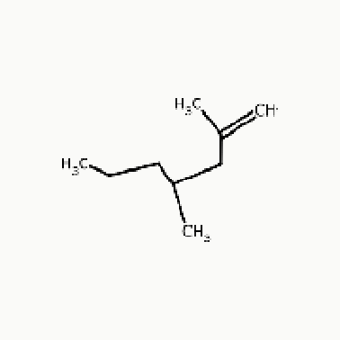 [CH]=C(C)CC(C)CCC